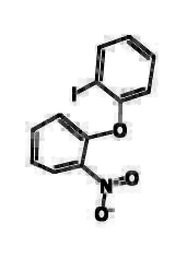 O=[N+]([O-])c1ccccc1Oc1ccccc1I